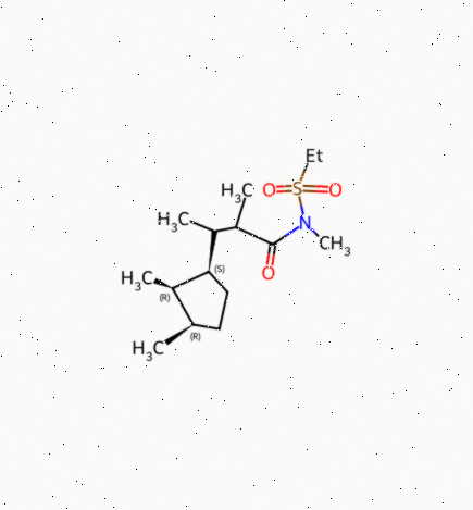 CCS(=O)(=O)N(C)C(=O)C(C)C(C)[C@H]1CC[C@@H](C)[C@H]1C